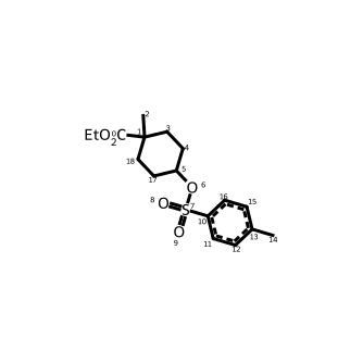 CCOC(=O)C1(C)CCC(OS(=O)(=O)c2ccc(C)cc2)CC1